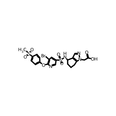 CS(=O)(=O)c1ccc(Oc2ncc(S(=O)(=O)NC3CCCc4c3cnn4CC(=O)O)cc2Br)cc1